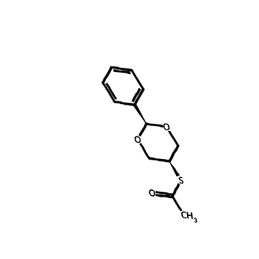 CC(=O)S[C@H]1CO[C@@H](c2ccccc2)OC1